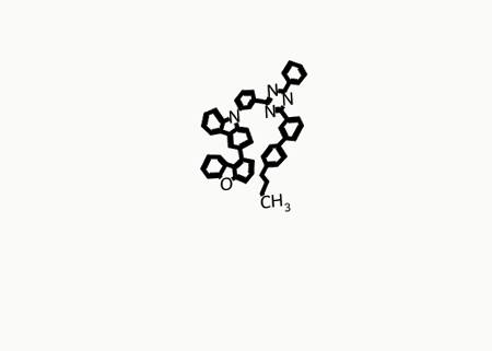 CCCCc1ccc(-c2cccc(-c3nc(-c4ccccc4)nc(-c4cccc(-n5c6ccccc6c6cc(-c7cccc8oc9ccccc9c78)ccc65)c4)n3)c2)cc1